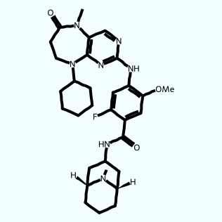 COc1cc(C(=O)NC2C[C@H]3CCC[C@@H](C2)N3C)c(F)cc1Nc1ncc2c(n1)N(C1CCCCC1)CCC(=O)N2C